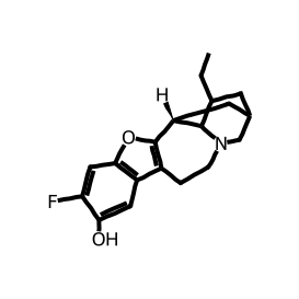 CCC1CC2C[C@H]3c4oc5cc(F)c(O)cc5c4CCN(C2)C13